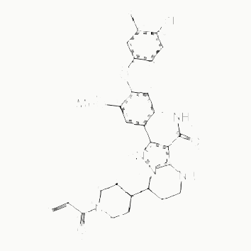 C=CC(=O)N1CCC(C2CCNc3c(C(N)=O)c(-c4ccc(Oc5ccc(Cl)c(C)c5)c(OC)c4)nn32)CC1